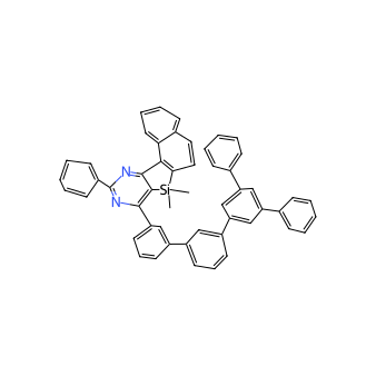 C[Si]1(C)c2ccc3ccccc3c2-c2nc(-c3ccccc3)nc(-c3cccc(-c4cccc(-c5cc(-c6ccccc6)cc(-c6ccccc6)c5)c4)c3)c21